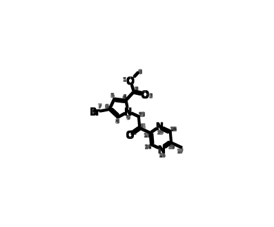 COC(=O)c1cc(Br)cn1CC(=O)c1cnc(C)cn1